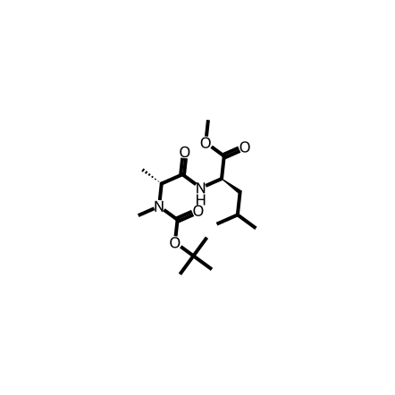 COC(=O)[C@@H](CC(C)C)NC(=O)[C@@H](C)N(C)C(=O)OC(C)(C)C